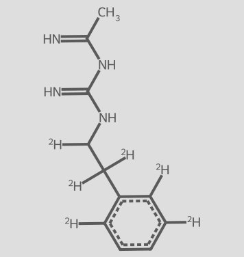 [2H]c1ccc([2H])c(C([2H])([2H])C([2H])NC(=N)NC(C)=N)c1[2H]